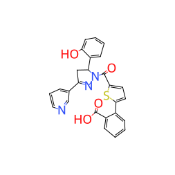 O=C(O)c1ccccc1-c1ccc(C(=O)N2N=C(c3cccnc3)CC2c2ccccc2O)s1